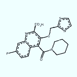 O=C(O)c1nc2cc(F)ccc2c(C(=O)N2CCCCC2)c1OCc1nccs1